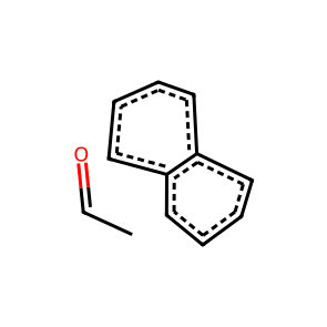 CC=O.c1ccc2ccccc2c1